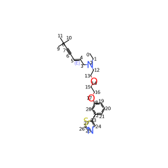 CCN(C/C=C/C#CC(C)(C)C)CCOCCOc1cccc(-c2cncs2)c1